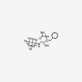 [2H]C([2H])([2H])C([2H])(C([2H])([2H])[2H])C([2H])([2H])NC[C@@H](O)[C@H](Cc1ccccc1)NC(B)=O